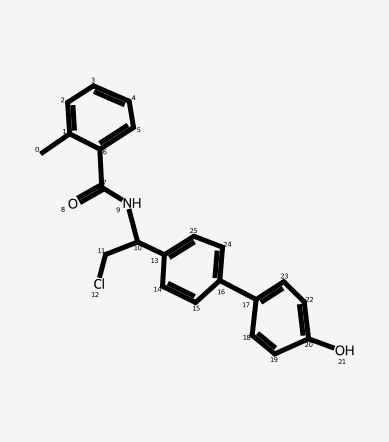 Cc1ccccc1C(=O)NC(CCl)c1ccc(-c2ccc(O)cc2)cc1